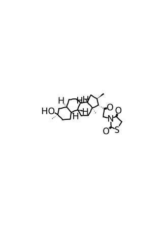 C[C@@H]1C[C@H]2[C@@H]3CC[C@@H]4C[C@](C)(O)CC[C@@H]4[C@H]3CC[C@]2(C)[C@H]1C(=O)CN1C(=O)CSC1=O